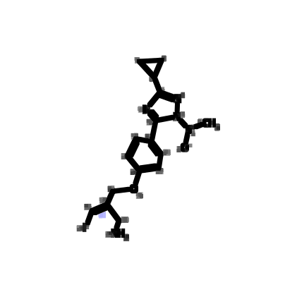 C[S+]([O-])n1nc(C2CC2)nc1-c1ccc(OC/C(=C/F)CN)cc1